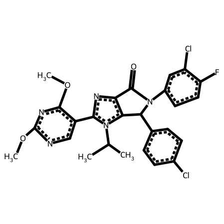 COc1ncc(-c2nc3c(n2C(C)C)C(c2ccc(Cl)cc2)N(c2ccc(F)c(Cl)c2)C3=O)c(OC)n1